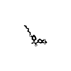 C=CCCCCOc1cccc(N(C)C(=O)c2ccc3ncsc3c2)c1